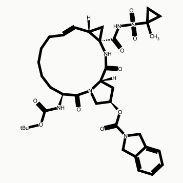 CC(C)(C)OC(=O)N[C@H]1CCCCC/C=C/[C@@H]2C[C@@]2(C(=O)NS(=O)(=O)C2(C)CC2)NC(=O)[C@@H]2C[C@@H](OC(=O)N3Cc4ccccc4C3)CN2C1=O